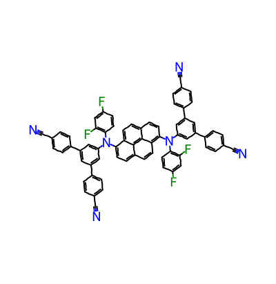 N#Cc1ccc(-c2cc(-c3ccc(C#N)cc3)cc(N(c3ccc(F)cc3F)c3ccc4ccc5c(N(c6cc(-c7ccc(C#N)cc7)cc(-c7ccc(C#N)cc7)c6)c6ccc(F)cc6F)ccc6ccc3c4c65)c2)cc1